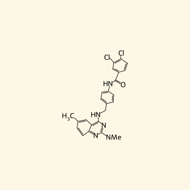 CNc1nc(NCc2ccc(NC(=O)c3ccc(Cl)c(Cl)c3)cc2)c2cc(C)ccc2n1